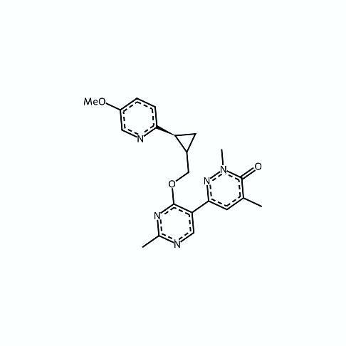 COc1ccc([C@H]2CC2COc2nc(C)ncc2-c2cc(C)c(=O)n(C)n2)nc1